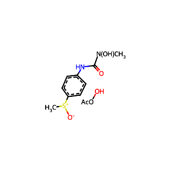 CC(=O)OO.CN(O)C(=O)Nc1ccc([S+](C)[O-])cc1